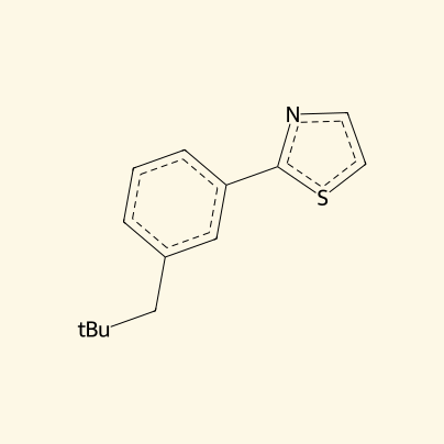 CC(C)(C)Cc1cccc(-c2nccs2)c1